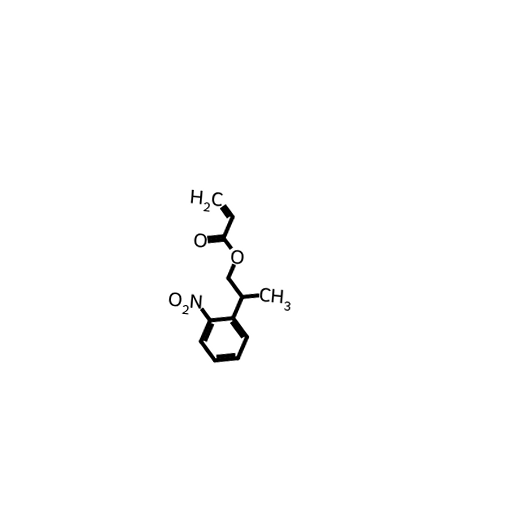 C=CC(=O)OCC(C)c1ccccc1[N+](=O)[O-]